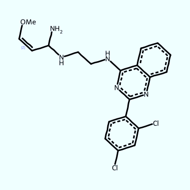 CO/C=C\C(N)NCCNc1nc(-c2ccc(Cl)cc2Cl)nc2ccccc12